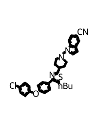 CCCCc1sc(C2CCN(Cn3ccc4cc(C#N)ccc43)CC2)nc1-c1ccc(Oc2ccc(Cl)cc2)cc1